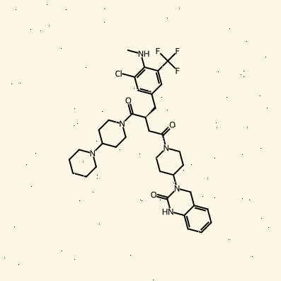 CNc1c(Cl)cc(C[C@@H](CC(=O)N2CCC(N3Cc4ccccc4NC3=O)CC2)C(=O)N2CCC(N3CCCCC3)CC2)cc1C(F)(F)F